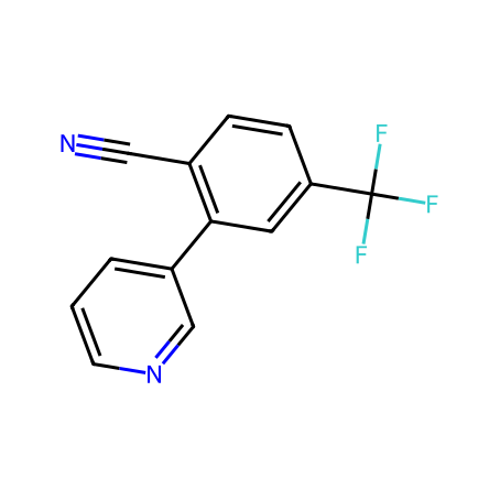 N#Cc1ccc(C(F)(F)F)cc1-c1cccnc1